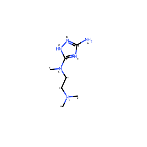 CN(C)CCN(C)c1nc(N)n[nH]1